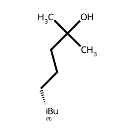 CC[C@@H](C)CCCC(C)(C)O